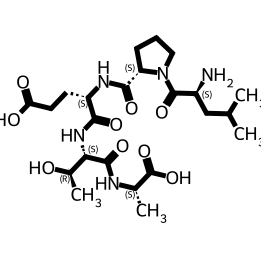 CC(C)C[C@H](N)C(=O)N1CCC[C@H]1C(=O)N[C@@H](CCC(=O)O)C(=O)N[C@H](C(=O)N[C@@H](C)C(=O)O)[C@@H](C)O